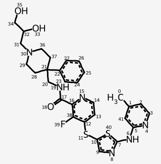 Cc1ccnc(Nc2ncc(Sc3ccnc(C(=O)NCC4(c5ccccc5)CCN(CC(O)CO)CC4)c3F)s2)c1